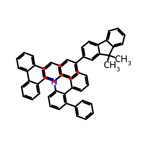 CC1(C)c2ccccc2-c2ccc(-c3ccc(N(c4cccc(-c5ccccc5)c4-c4ccccc4-c4ccccc4)c4cc5ccccc5c5ccccc45)cc3)cc21